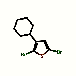 Brc1cc(C2CCCCC2)c(Br)s1